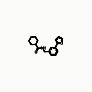 O=C(NCc1cccc(-c2ccco2)c1)C1CCCCC1